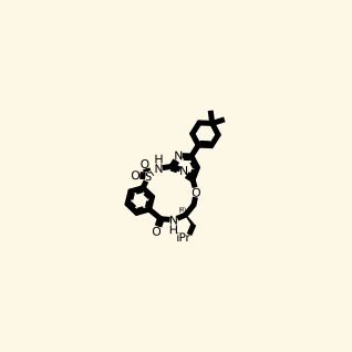 CC(C)C[C@@H]1COc2cc(C3=CCC(C)(C)CC3)nc(n2)NS(=O)(=O)c2cccc(c2)C(=O)N1